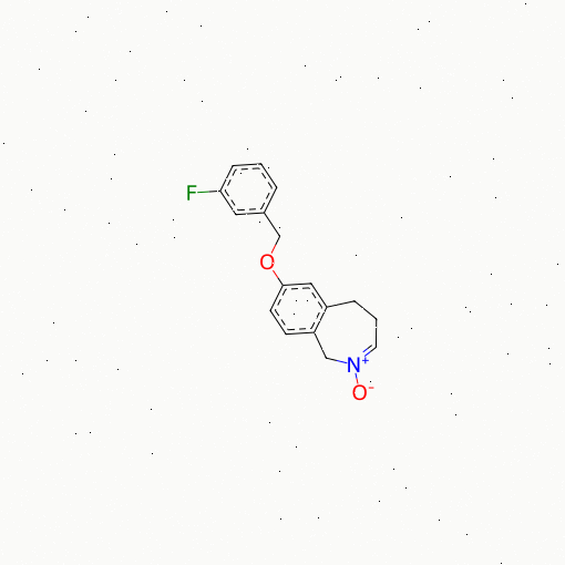 [O-][N+]1=CCCc2cc(OCc3cccc(F)c3)ccc2C1